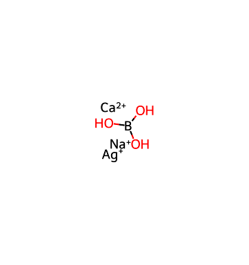 OB(O)O.[Ag+].[Ca+2].[Na+]